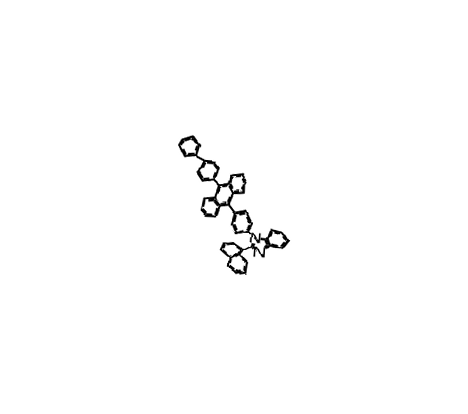 c1ccc(-c2ccc(-c3c4ccccc4c(-c4ccc(-n5c(-c6cccc7ccccc67)nc6ccccc65)cc4)c4ccccc34)cc2)cc1